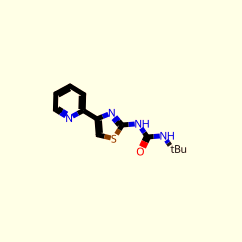 CC(C)(C)NC(=O)Nc1nc(-c2ccccn2)cs1